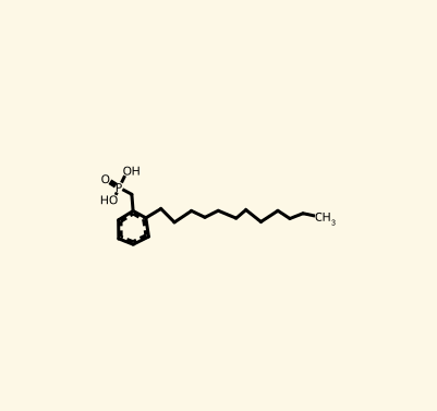 CCCCCCCCCCCCc1ccccc1CP(=O)(O)O